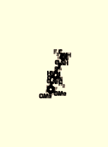 COc1ccc(C(=O)Nc2c(N)nc(SCC(=O)Nc3cc(C(F)(F)F)[nH]n3)[nH]c2=O)cc1OC